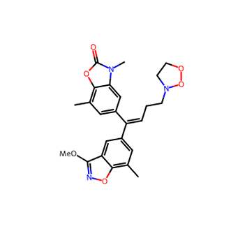 COc1noc2c(C)cc(/C(=C/CCN3CCOO3)c3cc(C)c4oc(=O)n(C)c4c3)cc12